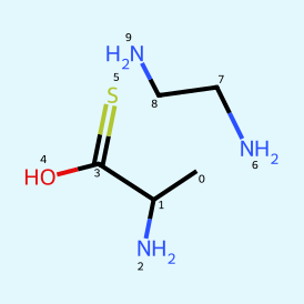 CC(N)C(O)=S.NCCN